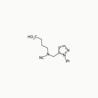 CC(C)n1nccc1CN(C#N)CCCC(=O)O